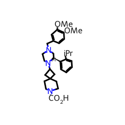 COc1ccc(CN2CCN(C3CC4(CCN(C(=O)O)CC4)C3)[C@H](c3ccccc3C(C)C)C2)cc1OC